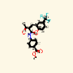 COC(=O)c1ccc(/N=c2\oc3ccc(C(F)(F)F)cc3cc2C(C)=O)cc1